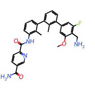 COc1cc(-c2cccc(-c3cccc(NC(=O)c4ccc(C(N)=O)cn4)c3C)c2C)cc(F)c1CN